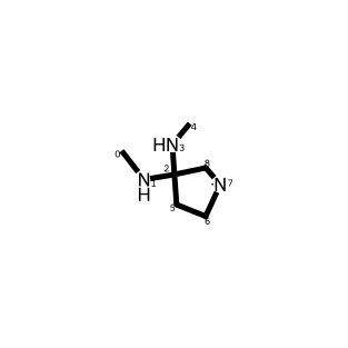 CNC1(NC)CC[N]C1